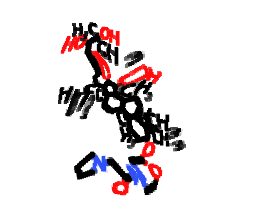 C[C@@H]1CC(C(O)C(C)(C)O)OC2C1C1(C)CCC3C(CC[C@H]4C(C)(C)C(OC5CN(C(=O)CN6CCCC6)CCO5)CCC34C)[C@]1(C)[C@H]2O